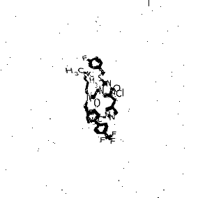 CN(C)CCCN(Cc1ccc(-c2ccc(C(F)(F)F)cc2)cc1)C(=O)Cn1cc(Cc2cnn(C)c2)c(=O)nc1SCc1ccc(F)cc1.Cl